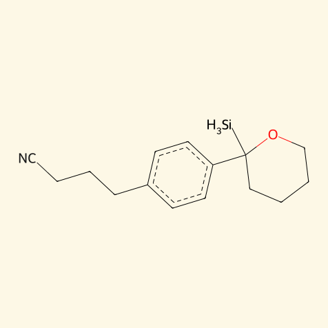 N#CCCCc1ccc(C2([SiH3])CCCCO2)cc1